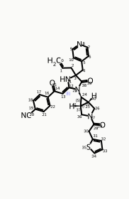 C=CCC1(Cc2ccncc2)N/C(=C\C(=O)c2ccc(C#N)cc2)N([C@H]2[C@@H]3CN(C(=O)Cc4cccs4)C[C@@H]32)C1=O